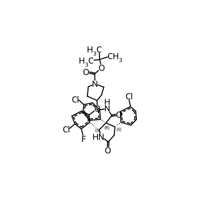 CC(C)(C)OC(=O)N1CCC(Oc2ccc(Cl)c(F)c2[C@H]2NC(=O)C[C@@H](c3cccc(Cl)c3)[C@]23C(=O)Nc2cc(Cl)ccc23)CC1